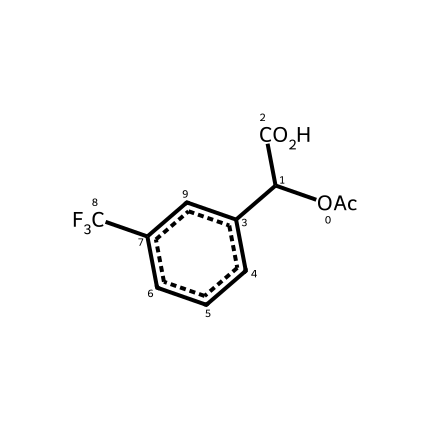 CC(=O)OC(C(=O)O)c1cccc(C(F)(F)F)c1